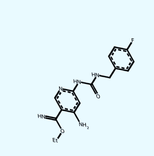 CCOC(=N)c1cnc(NC(=O)NCc2ccc(F)cc2)cc1N